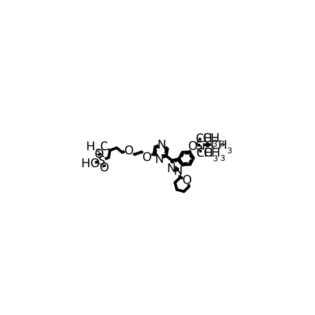 C[C@@H](CCOCCOc1cncc(-c2nn(C3CCCCO3)c3ccc(O[Si](C)(C)C(C)(C)C)cc23)n1)CS(=O)(=O)O